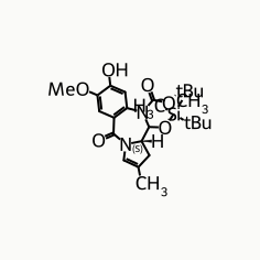 COc1cc2c(cc1O)N(C(=O)OC(C)(C)C)C(O[Si](C)(C)C(C)(C)C)[C@@H]1CC(C)=CN1C2=O